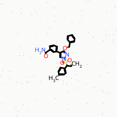 C=CC(c1ccc(C)cc1)S(=O)(=O)n1cc(-c2cccc(C(N)=O)c2)c(OCc2ccccc2)n1